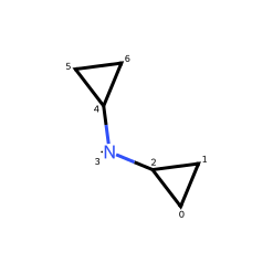 C1CC1[N]C1CC1